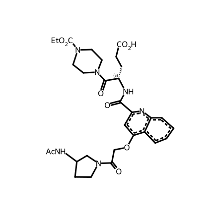 CCOC(=O)N1CCN(C(=O)[C@H](CCC(=O)O)NC(=O)c2cc(OCC(=O)N3CCC(NC(C)=O)C3)c3ccccc3n2)CC1